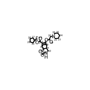 CCC1(OC(=O)C2C3CC(C4CNS(=O)(=O)C43)C2OC(=O)CN2CCCCC2)CCCC1